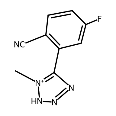 C[n+]1[nH]nnc1-c1cc(F)ccc1C#N